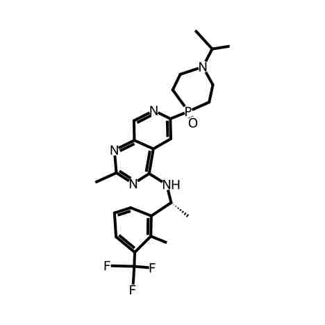 Cc1nc(N[C@H](C)c2cccc(C(F)(F)F)c2C)c2cc(P3(=O)CCN(C(C)C)CC3)ncc2n1